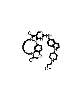 O=C1COc2ccc3cc2N1CCC/C=C\Cn1c(=O)c2cnc(Nc4ccc5c(ccn5C5CCN(CCO)CC5)c4)nc2n1-3